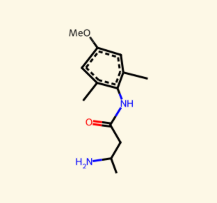 COc1cc(C)c(NC(=O)CC(C)N)c(C)c1